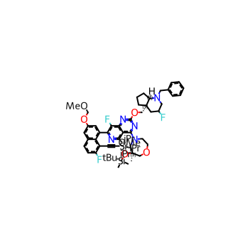 COCOc1cc(-c2nc(OC)c3c(N4CCOC[C@@](C)(O[Si](C)(C)C(C)(C)C)C4)nc(OC[C@]45CCC[C@H]4N(Cc4ccccc4)CC(F)C5)nc3c2F)c2c(C#C[Si](C(C)C)(C(C)C)C(C)C)c(F)ccc2c1